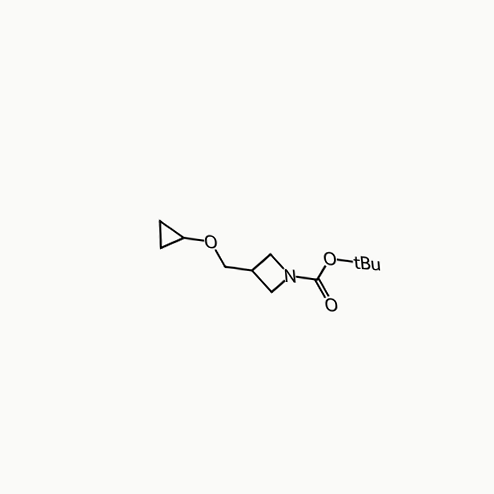 CC(C)(C)OC(=O)N1CC(COC2CC2)C1